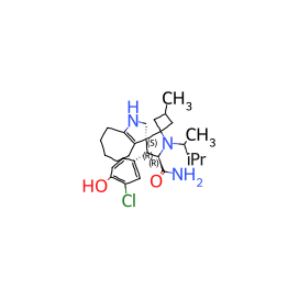 CC1CC2(C1)N(C(C)C(C)C)[C@@H](C(N)=O)[C@H](c1ccc(O)c(Cl)c1)[C@]21CNC2=C1CCCCC2